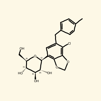 Cc1ccc(Cc2cc([C@@H]3O[C@H](CO)[C@@H](O)[C@H](O)[C@H]3O)c3c(c2Cl)OCO3)cc1